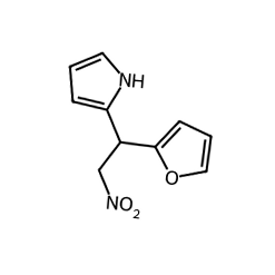 O=[N+]([O-])CC(c1ccc[nH]1)c1ccco1